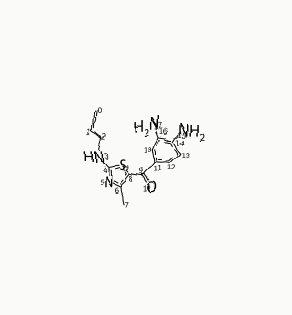 C=CCNc1nc(C)c(C(=O)c2ccc(N)c(N)c2)s1